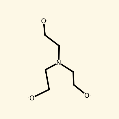 [O]CCN(CC[O])CC[O]